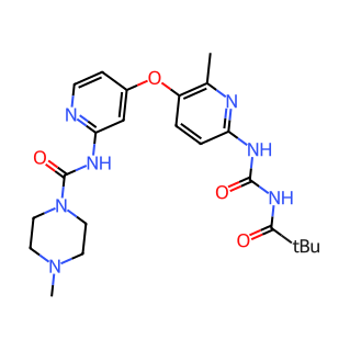 Cc1nc(NC(=O)NC(=O)C(C)(C)C)ccc1Oc1ccnc(NC(=O)N2CCN(C)CC2)c1